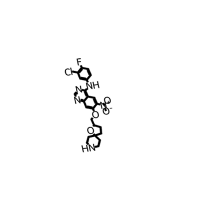 O=[N+]([O-])c1cc2c(Nc3ccc(F)c(Cl)c3)ncnc2cc1OCC1CCC2(CCNCC2)O1